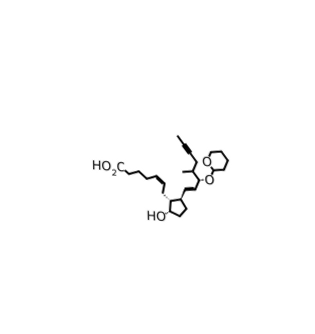 CC#CCC(C)[C@@H](/C=C/[C@H]1CC[C@H](O)[C@@H]1C/C=C\CCCC(=O)O)OC1CCCCO1